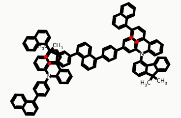 CC1(C)c2ccccc2-c2c(N(c3cccc(-c4ccc(-c5cccc6c(-c7ccc8c(c7)C(C)(C)c7cccc(N(c9ccc(-c%10cccc%11ccccc%10%11)cc9)c9ccccc9-c9ccc(-c%10cccc%11ccccc%10%11)cc9)c7-8)cccc56)cc4)c3)c3ccccc3-c3ccc(-c4cccc5ccccc45)cc3)cccc21